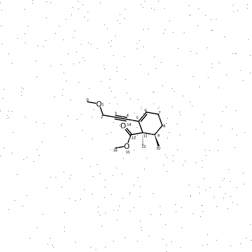 COCC#CC1=CCC[C@@H](C)[C@@]1(C)C(=O)OC